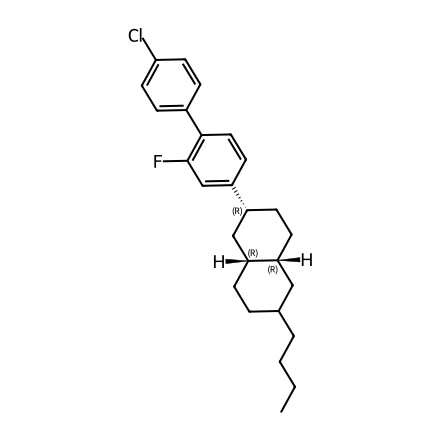 CCCCC1CC[C@@H]2C[C@H](c3ccc(-c4ccc(Cl)cc4)c(F)c3)CC[C@@H]2C1